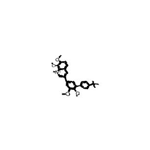 COc1cc(-c2cc3ccc(OC)c(OC)c3[n+](C)c2)cc(-c2ccc(C(C)(C)C)cc2)c1OC